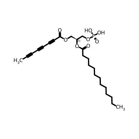 CC#CC#CC#CC(=O)OC[C@@H](COP(=O)(O)O)OC(=O)CCCCCCCCCCCC